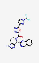 O=C(c1nnc(-c2ccn(C(F)F)n2)o1)N1CCc2[nH]cnc2[C@H]1c1ncc2ccccc2n1